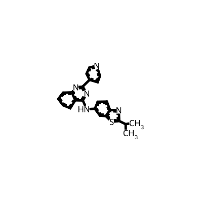 CC(C)c1nc2ccc(Nc3nc(-c4ccncc4)nc4ccccc34)cc2s1